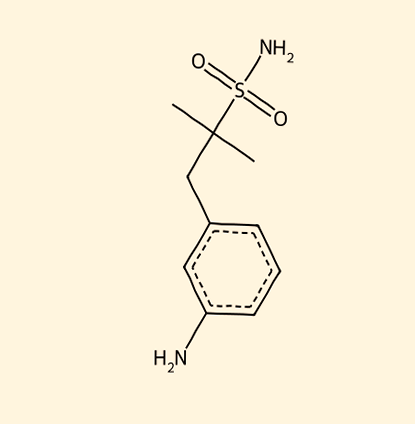 CC(C)(Cc1cccc(N)c1)S(N)(=O)=O